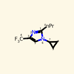 CCCc1nc(C(F)(F)F)cn1C1CC1